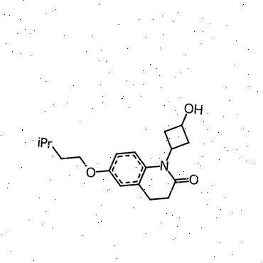 CC(C)CCOc1ccc2c(c1)CCC(=O)N2C1CC(O)C1